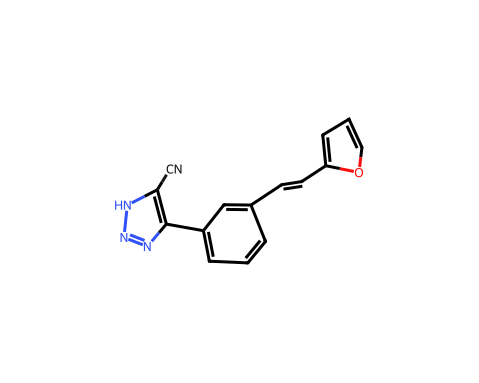 N#Cc1[nH]nnc1-c1cccc(/C=C/c2ccco2)c1